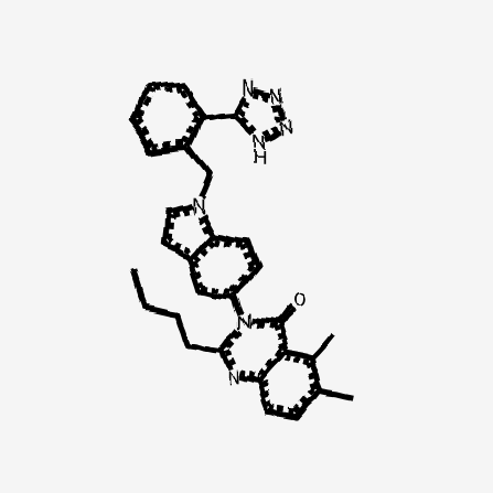 CCCCc1nc2ccc(C)c(C)c2c(=O)n1-c1ccc2c(ccn2Cc2ccccc2-c2nnn[nH]2)c1